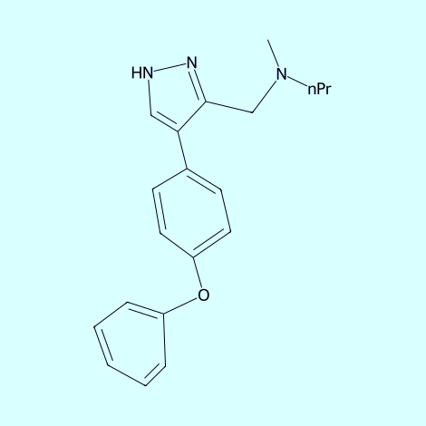 CCCN(C)Cc1n[nH]cc1-c1ccc(Oc2ccccc2)cc1